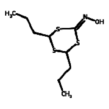 CCCC1SC(=NO)SC(CCC)S1